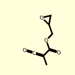 CC(=C=O)C(=O)OCC1CO1